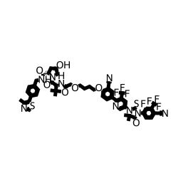 Cc1ncsc1-c1ccc(CNC(=O)[C@@H]2C[C@@H](O)CN2C(=O)[C@@H](NC(=O)COCCCCOc2ccc(-c3ncc(N4C(=S)N(c5ccc(C#N)c(C(F)(F)F)c5F)C(=O)C4(C)C)cc3C(F)(F)F)cc2C#N)C(C)(C)C)cc1